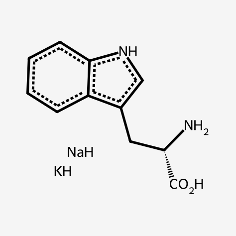 N[C@@H](Cc1c[nH]c2ccccc12)C(=O)O.[KH].[NaH]